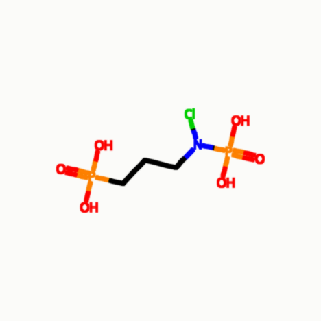 O=P(O)(O)CCCN(Cl)P(=O)(O)O